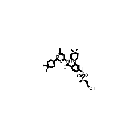 Cc1cc(NC(=O)c2ccc(NS(=O)(=O)N(C)CCO)cc2N2CC[Si](C)(C)CC2)nc(C2CCC(F)(F)CC2)n1